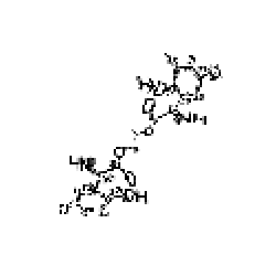 N=C(C(=O)OCCOC(=O)C(=N)c1cc(Cl)ccc1O)c1cc(Cl)ccc1O